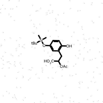 CC(=O)OC(Cc1cc(O[Si](C)(C)C(C)(C)C)ccc1O)C(=O)O